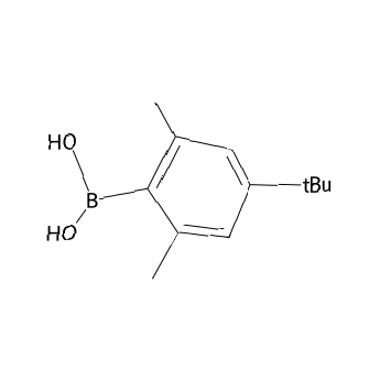 Cc1cc(C(C)(C)C)cc(C)c1B(O)O